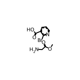 COC(=O)CN.O=C(O)c1cccnc1Br